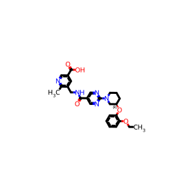 CCOc1ccccc1O[C@@H]1CCCN(c2ncc(C(=O)NCc3cc(C(=O)O)cnc3C)cn2)C1